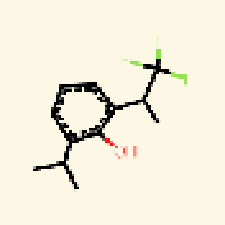 CC(C)c1cccc(C(C)C(F)(F)F)c1O